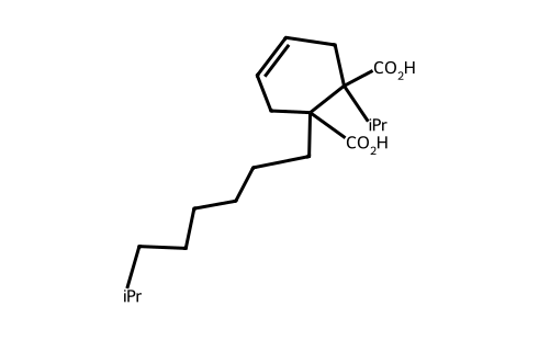 CC(C)CCCCCCC1(C(=O)O)CC=CCC1(C(=O)O)C(C)C